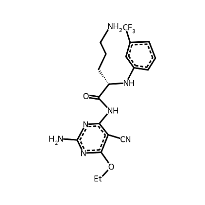 CCOc1nc(N)nc(NC(=O)[C@H](CCCN)Nc2cccc(C(F)(F)F)c2)c1C#N